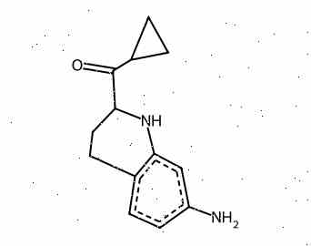 Nc1ccc2c(c1)NC(C(=O)C1CC1)CC2